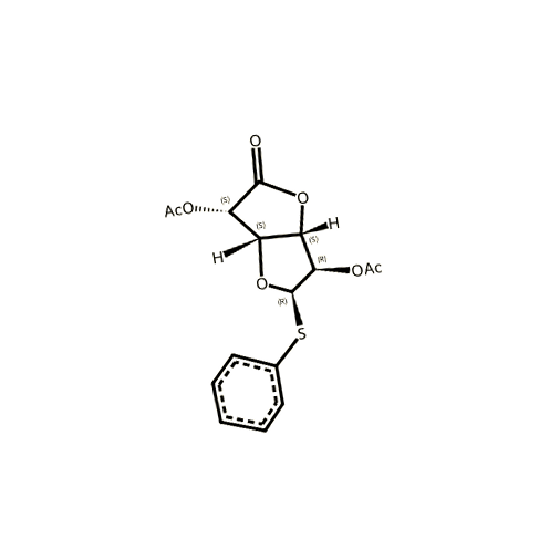 CC(=O)O[C@@H]1[C@H]2OC(=O)[C@@H](OC(C)=O)[C@H]2O[C@@H]1Sc1ccccc1